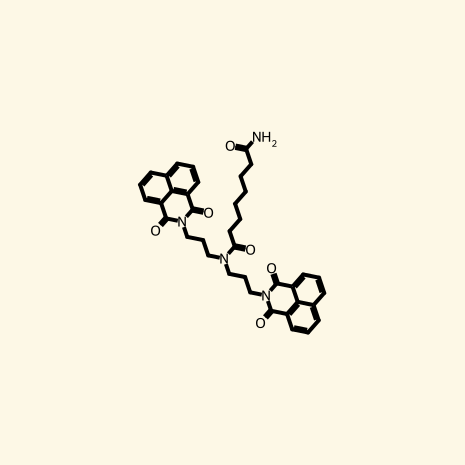 NC(=O)CCCCCCC(=O)N(CCCN1C(=O)c2cccc3cccc(c23)C1=O)CCCN1C(=O)c2cccc3cccc(c23)C1=O